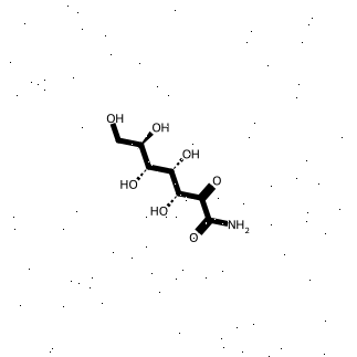 NC(=O)C(=O)[C@H](O)[C@@H](O)[C@H](O)[C@H](O)CO